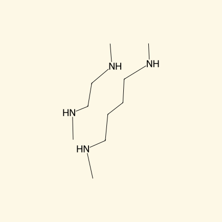 CNCCCCNC.CNCCNC